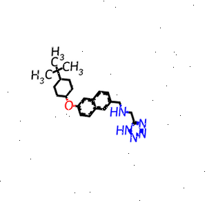 CC(C)(C)C1CCC(Oc2ccc3cc(CNCc4nnn[nH]4)ccc3c2)CC1